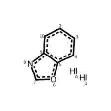 I.I.c1ccc2ocnc2c1